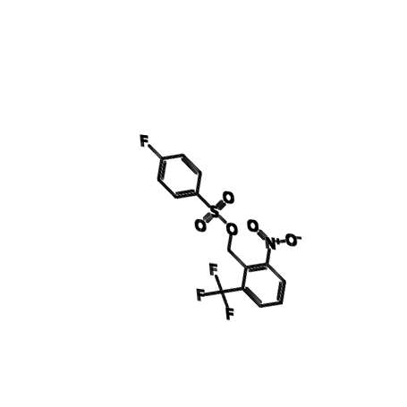 O=[N+]([O-])c1cccc(C(F)(F)F)c1COS(=O)(=O)c1ccc(F)cc1